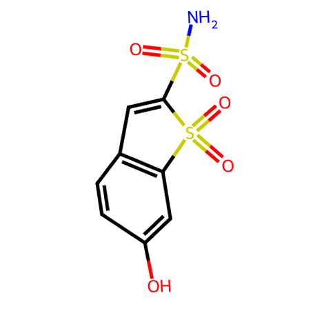 NS(=O)(=O)C1=Cc2ccc(O)cc2S1(=O)=O